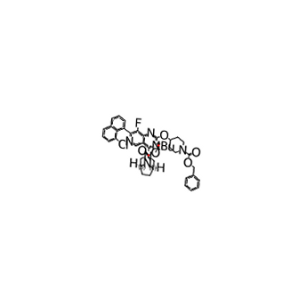 CC(C)(C)OC(=O)N1[C@@H]2CC[C@H]1CN(c1nc(OC3CCN(C(=O)OCc4ccccc4)CC3)nc3c(F)c(-c4cccc5cccc(Cl)c45)ncc13)C2